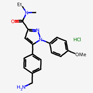 CCN(C)C(=O)c1cc(-c2ccc(CN)cc2)n(-c2ccc(OC)cc2)n1.Cl